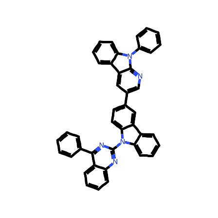 c1ccc(-c2nc(-n3c4ccccc4c4cc(-c5cnc6c(c5)c5ccccc5n6-c5ccccc5)ccc43)nc3ccccc23)cc1